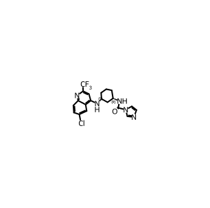 O=C(N[C@@H]1CCC[C@H](Nc2cc(C(F)(F)F)nc3ccc(Cl)cc23)C1)n1ccnc1